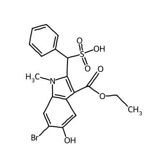 CCOC(=O)c1c(C(c2ccccc2)S(=O)(=O)O)n(C)c2cc(Br)c(O)cc12